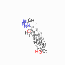 CC[C@@]1(O)CC[C@H]2[C@H](CC[C@@H]3[C@@H]2CC[C@]2(C)[C@@H](C(=O)Cn4nnnc4C)CC[C@@H]32)C1